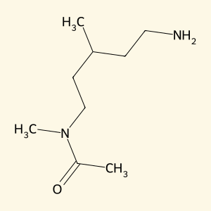 CC(=O)N(C)CCC(C)CCN